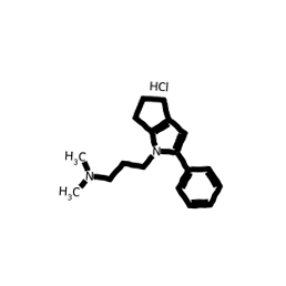 CN(C)CCCn1c(-c2ccccc2)cc2c1CCC2.Cl